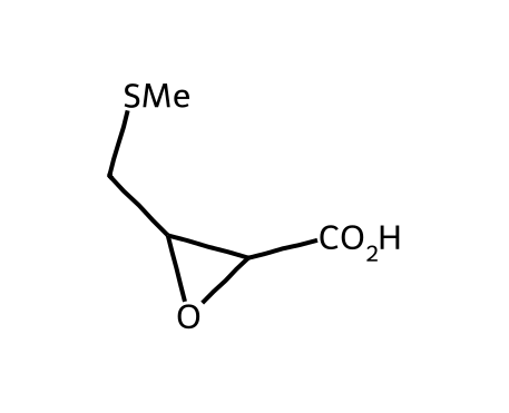 CSCC1OC1C(=O)O